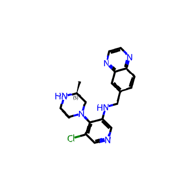 C[C@H]1CN(c2c(Cl)cncc2NCc2ccc3nccnc3c2)CCN1